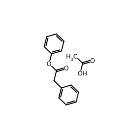 CC(=O)O.O=C(Cc1ccccc1)Oc1ccccc1